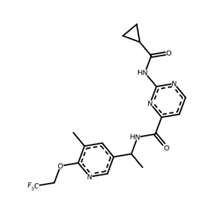 Cc1cc(C(C)NC(=O)c2ccnc(NC(=O)C3CC3)n2)cnc1OCC(F)(F)F